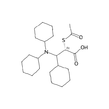 CC(=O)S[C@H](C(=O)O)C(C1CCCCC1)N(C1CCCCC1)C1CCCCC1